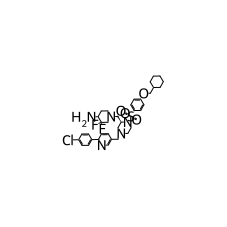 N[C@H]1CCN(C(=O)[C@@H]2CN(Cc3ccc(-c4ccc(Cl)cc4)nc3)CCN2S(=O)(=O)c2ccc(OCC3CCCCC3)cc2)CC1(F)F